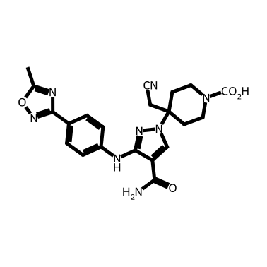 Cc1nc(-c2ccc(Nc3nn(C4(CC#N)CCN(C(=O)O)CC4)cc3C(N)=O)cc2)no1